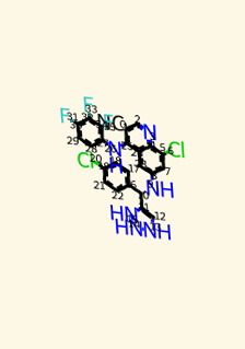 N#Cc1cnc2c(Cl)cc(N[C@H](C3=CNNN3)c3ccc(Cl)cc3)cc2c1Nc1ccc(F)c(F)c1F